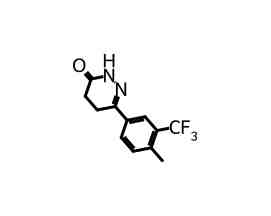 Cc1ccc(C2=NNC(=O)CC2)cc1C(F)(F)F